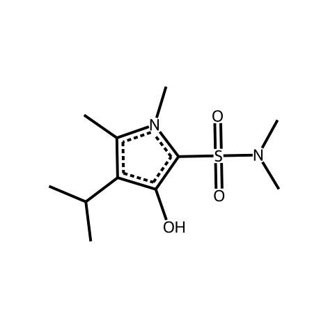 Cc1c(C(C)C)c(O)c(S(=O)(=O)N(C)C)n1C